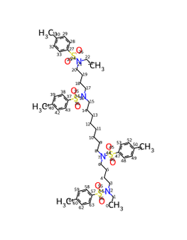 CCN(CCCCN(CCCCCCCCN(CCCCN(CC)S(=O)(=O)c1ccc(C)cc1)S(=O)(=O)c1ccc(C)cc1)S(=O)(=O)c1ccc(C)cc1)S(=O)(=O)c1ccc(C)cc1